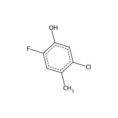 Cc1cc(F)c(O)cc1Cl